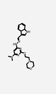 CN(C)c1cc(N/N=C/C2=CNC3C=CC=CC23)nc(OCCN2CCOCC2)n1